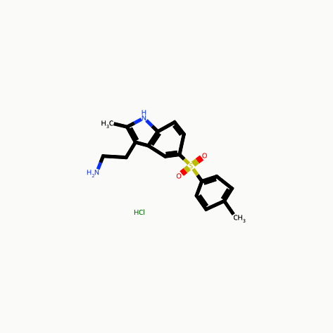 Cc1ccc(S(=O)(=O)c2ccc3[nH]c(C)c(CCN)c3c2)cc1.Cl